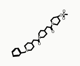 CS(=O)(=O)OC1CCN(C(=O)CC2CCN(C(=O)CC3CCN(Cc4ccccc4)CC3)CC2)CC1